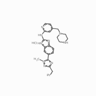 CC(C)Cc1nc(-c2ccc3nc(Nc4cc(CN5CCNCC5)ccn4)[nH]c3c2)n(C)n1.Cl